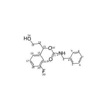 O=C(NCc1ccccc1)OC(CCO)c1cccc(F)c1